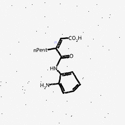 CCCCC/C(=C/C(=O)O)C(=O)Nc1ccccc1N